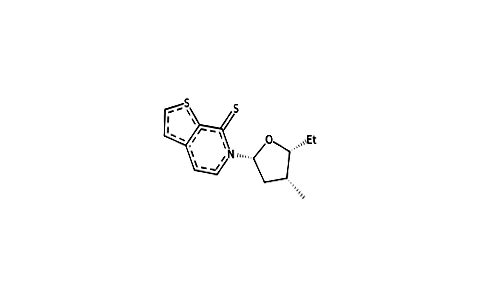 CC[C@H]1O[C@@H](n2ccc3ccsc3c2=S)C[C@H]1C